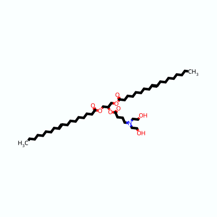 CCCCCCCCC=CCCCCCCCC(=O)OCC(COC(=O)CCCCCCCC=CCCCCCCCC)OC(=O)CCCN(CCO)CCO